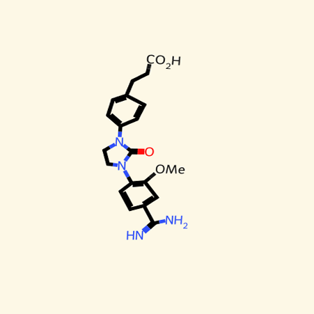 COc1cc(C(=N)N)ccc1N1CCN(c2ccc(CCC(=O)O)cc2)C1=O